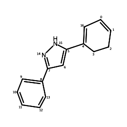 C1=CCCC(c2cc(-c3ccccc3)n[nH]2)=C1